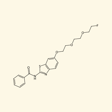 O=C(Nc1nc2ccc(OCCOCCOCCF)cc2s1)c1ccccc1